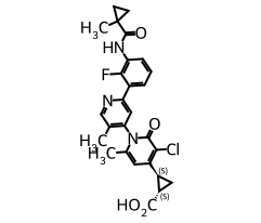 Cc1cnc(-c2cccc(NC(=O)C3(C)CC3)c2F)cc1-n1c(C)cc([C@H]2C[C@@H]2C(=O)O)c(Cl)c1=O